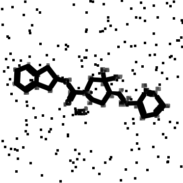 Cl.O=C(OC1Cc2ccccc2C1)N1CC[C@H](CNc2cccnn2)C(F)(F)C1